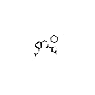 CO[C@H]1CC[C@H](N(Cc2cccc(NC(=O)OC(C)(C)C)c2)C(=O)c2cc(C(F)(F)F)n[nH]2)CC1